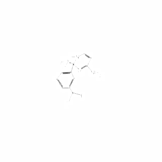 NC1=NC(N)(c2cccc(C(F)F)c2)NC=C1